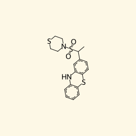 CC(c1ccc2c(c1)Nc1ccccc1S2)S(=O)(=O)N1CCSCC1